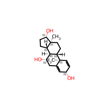 C[C@]12CC[C@H]3[C@@H]([C@@H](O)CC4=C[C@@H](O)C=C[C@@]43C)[C@@H]1CC[C@@H]2O